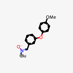 COc1ccc(Oc2cccc(C=[N+]([O-])C(C)(C)C)c2)cc1